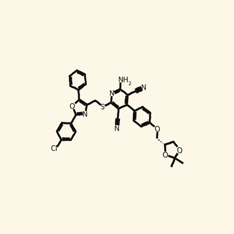 CC1(C)OC[C@@H](COc2ccc(-c3c(C#N)c(N)nc(SCc4nc(-c5ccc(Cl)cc5)oc4-c4ccccc4)c3C#N)cc2)O1